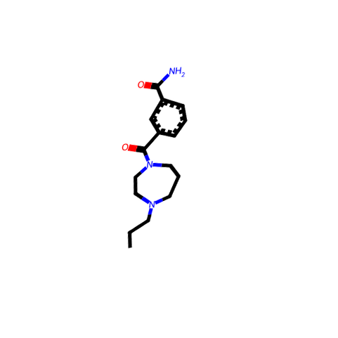 CCCN1CCCN(C(=O)c2cccc(C(N)=O)c2)CC1